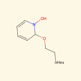 CCCCCCCCOC1C=CC=CN1O